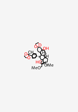 COC[C@H](O)[C@@]1(OC)CC[C@H]2[C@@H]3CC[C@@]4(O)CC5(CCC4=C3[C@@H](c3ccc(C4(C)OCCO4)cc3)C[C@@]21C)OCCO5